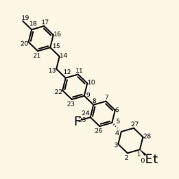 CC[C@H]1CC[C@H](c2ccc(-c3ccc(CCc4ccc(C)cc4)cc3)c(F)c2)CC1